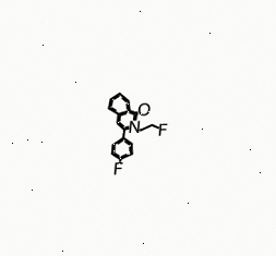 O=c1c2ccccc2cc(-c2ccc(F)cc2)n1CCF